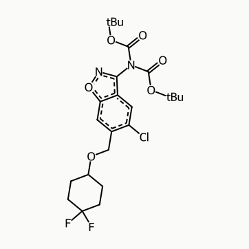 CC(C)(C)OC(=O)N(C(=O)OC(C)(C)C)c1noc2cc(COC3CCC(F)(F)CC3)c(Cl)cc12